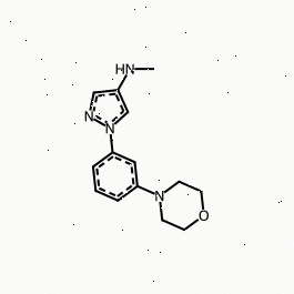 CNc1cnn(-c2cccc(N3CCOCC3)c2)c1